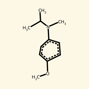 COc1ccc(N(C)C(C)C)cc1